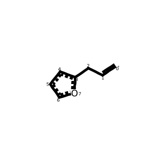 [CH]=CCc1ccco1